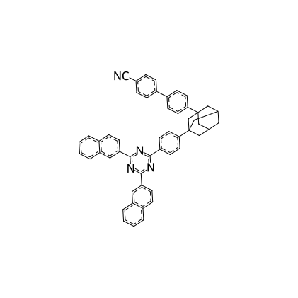 N#Cc1ccc(-c2ccc(C34CC5CC(C3)CC(c3ccc(-c6nc(-c7ccc8ccccc8c7)nc(-c7ccc8ccccc8c7)n6)cc3)(C5)C4)cc2)cc1